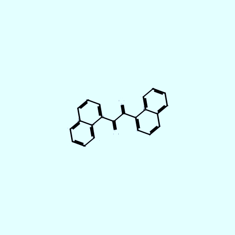 O=C(C(=O)c1cccc2ccccc12)c1cccc2ccccc12